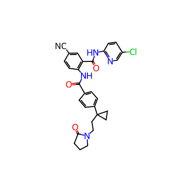 N#Cc1ccc(NC(=O)c2ccc(C3(CCN4CCCC4=O)CC3)cc2)c(C(=O)Nc2ccc(Cl)cn2)c1